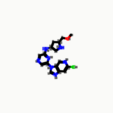 COC[C@@H]1C[C@@H](Nc2cncc(-n3cnc4cc(Cl)ncc43)n2)CN1